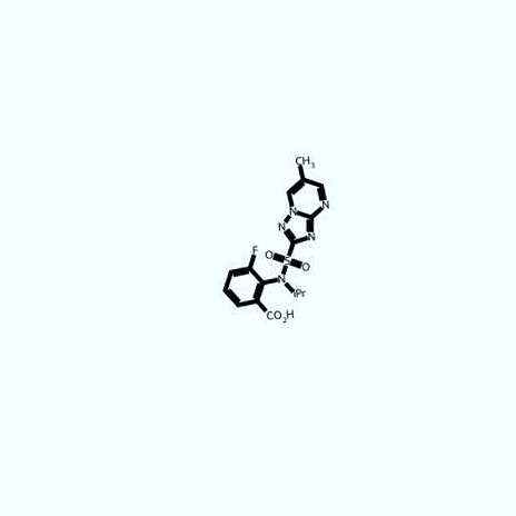 Cc1cnc2nc(S(=O)(=O)N(c3c(F)cccc3C(=O)O)C(C)C)nn2c1